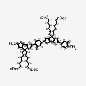 CCCCCCCCCCCCCCCCC1(CCCCCCCCCCCCCCCC)c2cc(-c3ccc(C)c(F)c3)sc2-c2sc(-c3ccc(-c4cc5c(s4)-c4sc(C)cc4C5(CCCCCCCCCCCCCCCC)CCCCCCCCCCCCCCCC)c(F)c3)cc21